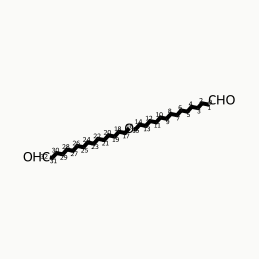 O=CCCCCCCCCCCCCCCCOCCCCCCCCCCCCCCCC=O